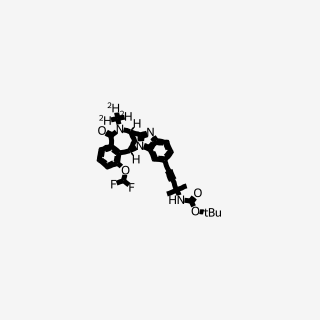 [2H]C([2H])([2H])N1C(=O)c2cccc(OC(F)F)c2[C@H]2C[C@@H]1c1nc3ccc(C#CC(C)(C)NC(=O)OC(C)(C)C)cc3n12